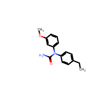 [CH2]Cc1ccc(N(C(N)=O)c2cccc(OC)c2)cc1